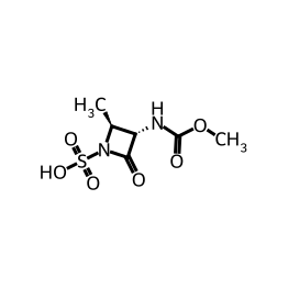 COC(=O)N[C@@H]1C(=O)N(S(=O)(=O)O)[C@H]1C